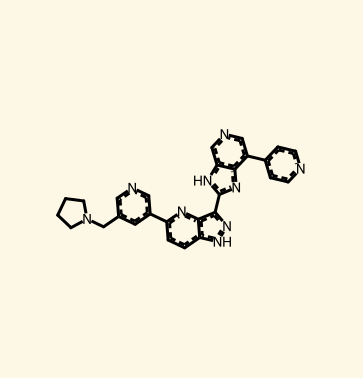 c1cc(-c2cncc3[nH]c(-c4n[nH]c5ccc(-c6cncc(CN7CCCC7)c6)nc45)nc23)ccn1